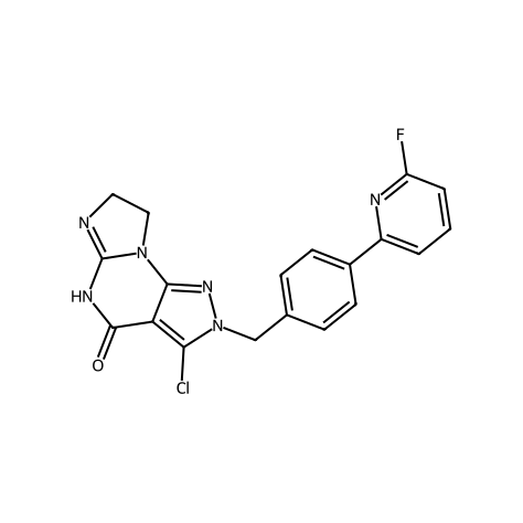 O=C1NC2=NCCN2c2nn(Cc3ccc(-c4cccc(F)n4)cc3)c(Cl)c21